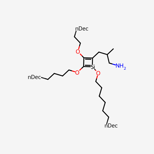 CCCCCCCCCCCCCCCCO[Si]1=C(OCCCCCCCCCCCCCC)C(OCCCCCCCCCCCC)=C1CC(C)CN